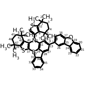 CC1(C)CCC(C)(C)c2c(N3c4cc(-c5ccc6oc7ccccc7c6c5)cc5c4B(c4ccccc4-5)c4sc5c(c43)C(C)(C)CCC5(C)C)csc21